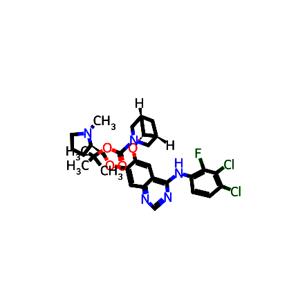 CN1CCC[C@@H]1COc1cc2ncnc(Nc3ccc(Cl)c(Cl)c3F)c2cc1O[C@H]1[C@@H]2C[C@H]1CN(C(=O)OC(C)(C)C)C2